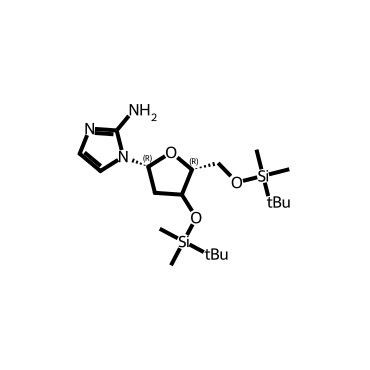 CC(C)(C)[Si](C)(C)OC[C@H]1O[C@@H](n2ccnc2N)CC1O[Si](C)(C)C(C)(C)C